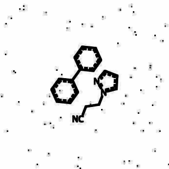 N#CCCn1cccn1.c1ccc(-c2ccccc2)cc1